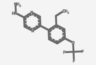 CCc1cc(OC(F)(F)F)ccc1-c1cnc(NN)cn1